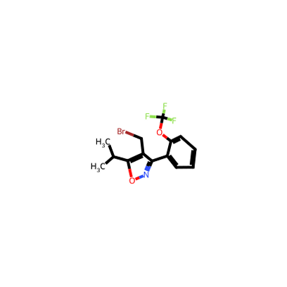 CC(C)c1onc(-c2ccccc2OC(F)(F)F)c1CBr